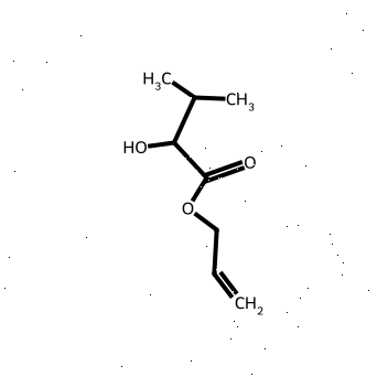 C=CCOC(=O)C(O)C(C)C